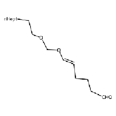 CCCCCCCCCOCOC=CCCCC=O